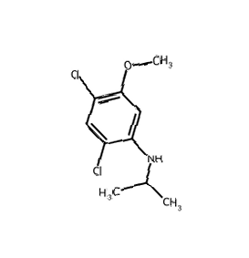 COc1cc(NC(C)C)c(Cl)cc1Cl